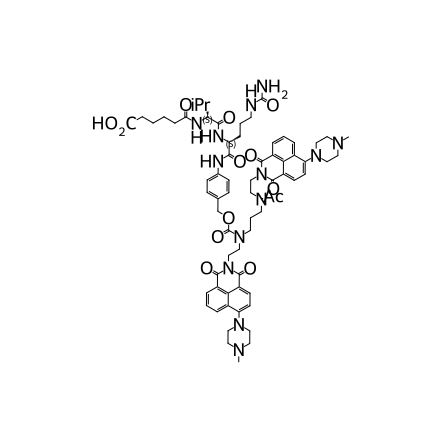 CC(=O)N(CCCN(CCN1C(=O)c2cccc3c(N4CCN(C)CC4)ccc(c23)C1=O)C(=O)OCc1ccc(NC(=O)[C@H](CCCNC(N)=O)NC(=O)[C@@H](NC(=O)CCCCC(=O)O)C(C)C)cc1)CCN1C(=O)c2cccc3c(N4CCN(C)CC4)ccc(c23)C1=O